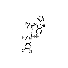 CN(Cc1ccc(Cl)c(Cl)c1)C(=O)Nc1ccc2[nH]c(-c3cscn3)[n+](OC(=O)C(F)(F)F)c2c1